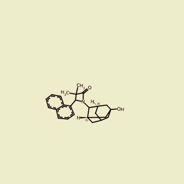 CC1(C)C(=O)N(C2[C@@H]3CC4C[C@H]2CC(O)(C4)C3)C1c1cccc2ccccc12